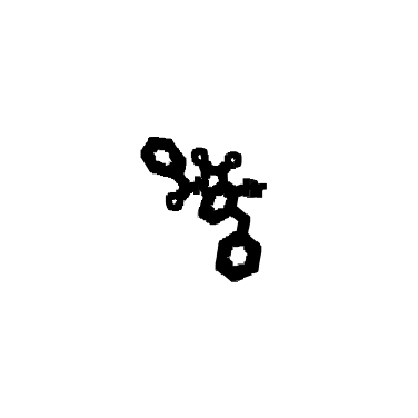 O=C1C(=O)N(C(=O)c2ccccc2)c2ccc(Cc3ccccc3)c(Br)c21